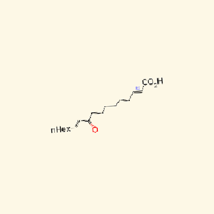 CCCCCCC=CC(=O)CCCCCC/C=C/C(=O)O